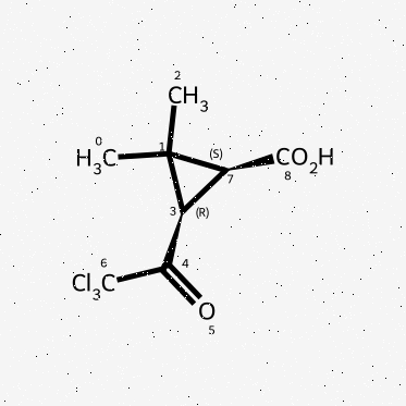 CC1(C)[C@H](C(=O)C(Cl)(Cl)Cl)[C@@H]1C(=O)O